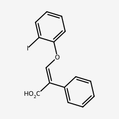 O=C(O)C(=COc1ccccc1I)c1ccccc1